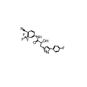 N#Cc1ccc(NC(=O)C(O)Cn2cc(-c3ccc(F)cc3)nn2)cc1C(F)(F)F